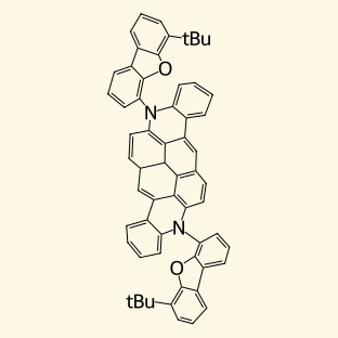 CC(C)(C)c1cccc2c1oc1c(N3C4=C5C(=Cc6ccc7c8c6C5C(C=C4)C=C8c4ccccc4N7c4cccc5c4oc4c(C(C)(C)C)cccc45)c4ccccc43)cccc12